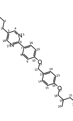 CCCc1cnc(-c2ccc(OCc3ccc(OCC(C)CC)cc3)cc2)nc1